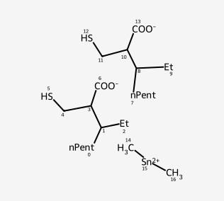 CCCCCC(CC)C(CS)C(=O)[O-].CCCCCC(CC)C(CS)C(=O)[O-].[CH3][Sn+2][CH3]